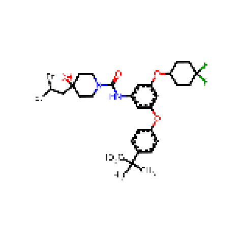 CCC(CC)CC1(O)CCN(C(=O)Nc2cc(Oc3ccc(C(C)(C)C(=O)O)cc3)cc(OC3CCC(F)(F)CC3)c2)CC1